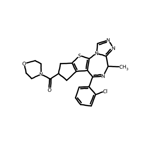 CC1N=C(c2ccccc2Cl)c2c(sc3c2CC(C(=O)N2CCOCC2)C3)-n2cnnc21